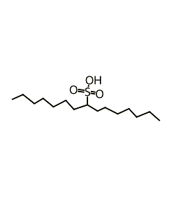 CCCCCCCC(CCCCCCC)S(=O)(=O)O